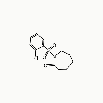 O=C1CCCCCN1S(=O)(=O)c1ccccc1Cl